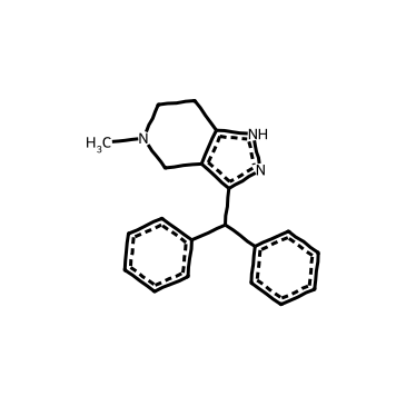 CN1CCc2[nH]nc(C(c3ccccc3)c3ccccc3)c2C1